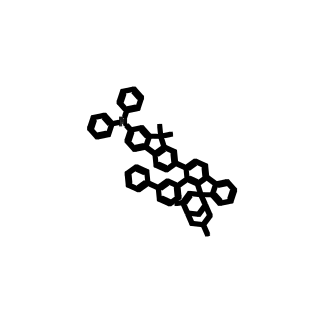 CC1=CC2(c3ccccc3-c3ccc(-c4ccc5c(c4)C(C)(C)c4cc(N(c6ccccc6)c6ccccc6)ccc4-5)c(-c4cccc(-c5ccccc5)c4)c32)C2CC(C)CC1C2